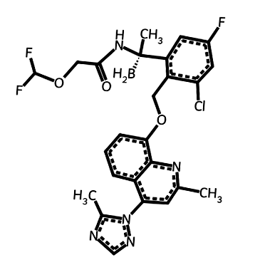 B[C@@](C)(NC(=O)COC(F)F)c1cc(F)cc(Cl)c1COc1cccc2c(-n3ncnc3C)cc(C)nc12